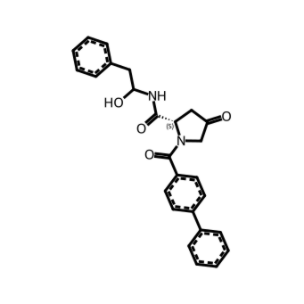 O=C1C[C@@H](C(=O)NC(O)Cc2ccccc2)N(C(=O)c2ccc(-c3ccccc3)cc2)C1